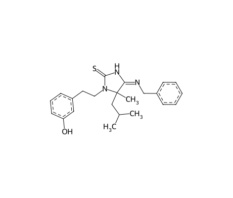 CC(C)CC1(C)/C(=N\Cc2ccccc2)NC(=S)N1CCc1cccc(O)c1